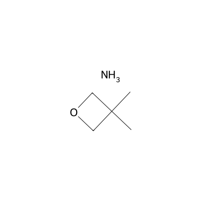 CC1(C)COC1.N